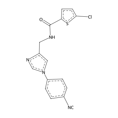 [C-]#[N+]c1ccc(-n2cnc(CNC(=O)c3ccc(Cl)s3)c2)cc1